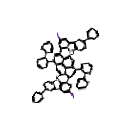 Ic1cc2c3c(c1)-c1cc(-c4ccccc4-c4ccccc4)c4cc5c6c(cc(-c7ccccc7-c7ccccc7)c7cc(c1c4c76)B3c1ccc(-c3ccccc3)cc1-2)-c1cc(I)cc2c1B5c1ccc(-c3ccccc3)cc1-2